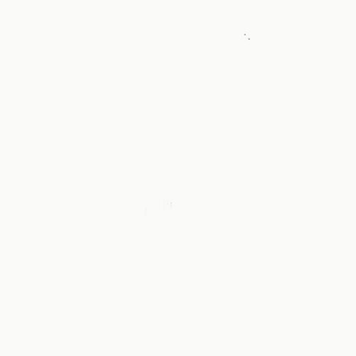 NCCCCCCCCCCP(Br)(c1ccccc1)(c1ccccc1)c1ccccc1